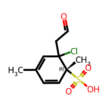 CC1=CC(Cl)(CC=O)[C@](C)(S(=O)(=O)O)C=C1